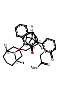 COC(=O)Cn1c(-c2nc3ccccc3n(C3C[C@H]4CCC[C@@H](C3)N4CC[C@@H]3CC[C@H]4C[C@H]3C4(C)C)c2=O)cccc1=O